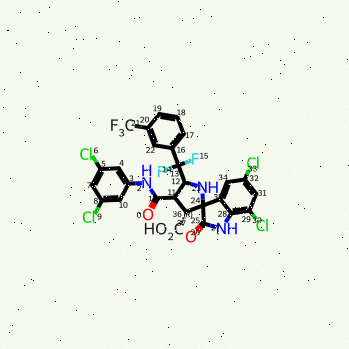 O=C(Nc1cc(Cl)cc(Cl)c1)C1C(C(F)(F)c2cccc(C(F)(F)F)c2)NC2(C(=O)Nc3c(Cl)cc(Cl)cc32)[C@@H]1C(=O)O